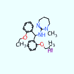 CCOc1ccccc1C(NC1=NCCCCN1C)c1ccccc1OCC.I